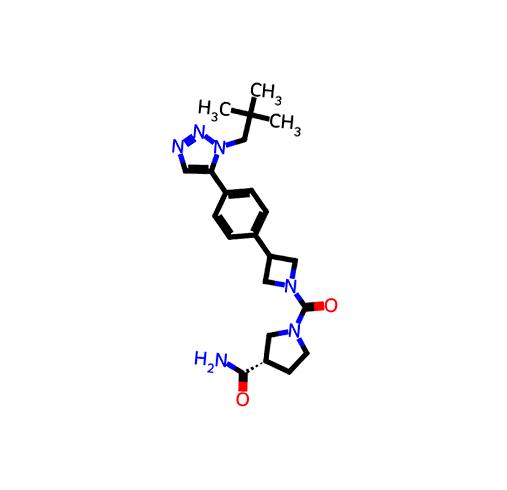 CC(C)(C)Cn1nncc1-c1ccc(C2CN(C(=O)N3CC[C@H](C(N)=O)C3)C2)cc1